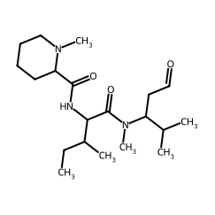 CCC(C)C(NC(=O)C1CCCCN1C)C(=O)N(C)C(CC=O)C(C)C